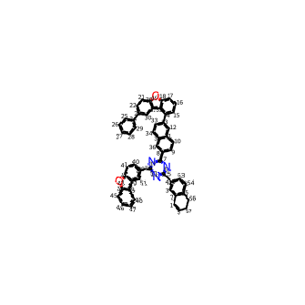 C1=Cc2cc(-c3nc(-c4ccc5cc(-c6cccc7oc8ccc(-c9ccccc9)cc8c67)ccc5c4)nc(-c4ccc5oc6ccccc6c5c4)n3)ccc2CC1